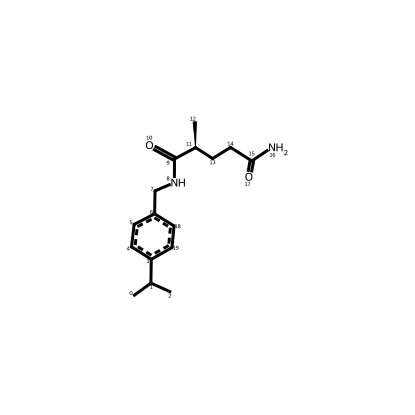 CC(C)c1ccc(CNC(=O)[C@@H](C)CCC(N)=O)cc1